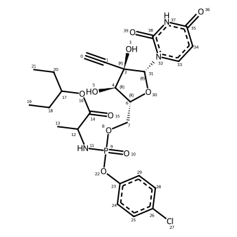 C#C[C@@]1(O)[C@H](O)[C@@H](COP(=O)(NC(C)C(=O)OC(CC)CC)Oc2ccc(Cl)cc2)O[C@H]1n1ccc(=O)[nH]c1=O